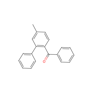 Cc1ccc(C(=O)c2ccccc2)c(-c2ccccc2)c1